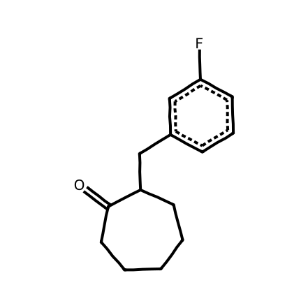 O=C1CCCCCC1Cc1cccc(F)c1